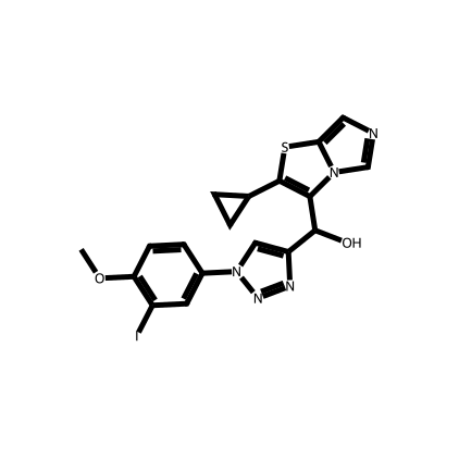 COc1ccc(-n2cc(C(O)c3c(C4CC4)sc4cncn34)nn2)cc1I